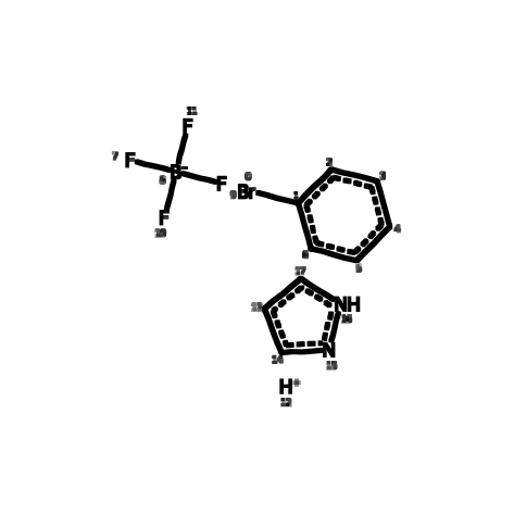 Brc1ccccc1.F[B-](F)(F)F.[H+].c1cn[nH]c1